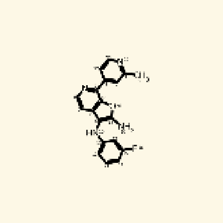 Cc1cc(-c2nccc3c(Nc4cccc(F)c4)c(N)oc23)ccn1